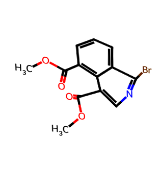 COC(=O)c1cccc2c(Br)ncc(C(=O)OC)c12